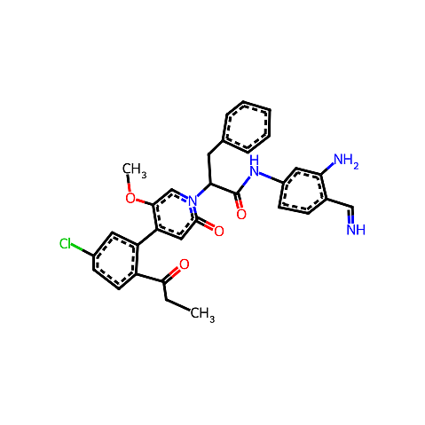 CCC(=O)c1ccc(Cl)cc1-c1cc(=O)n(C(Cc2ccccc2)C(=O)Nc2ccc(C=N)c(N)c2)cc1OC